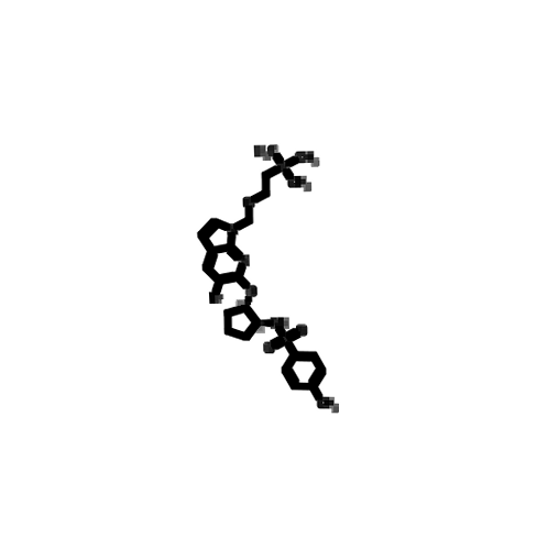 Cc1ccc(S(=O)(=O)N[C@H]2CCC[C@@H]2Oc2nc3c(ccn3COCC[Si](C)(C)C)cc2Br)cc1